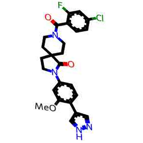 COc1cc(N2CCC3(CCN(C(=O)c4ccc(Cl)cc4F)CC3)C2=O)ccc1-c1cn[nH]c1